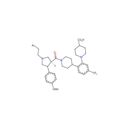 COc1ccc(C2CN(CCC(C)=O)C[C@@]2(F)C(=O)N2CCC(c3ccc(C(F)(F)F)cc3N3CCC(C(=O)O)CC3)CC2)cc1